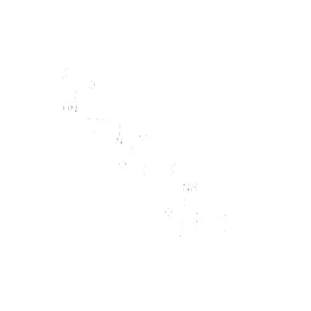 C=CC(=O)NC1C2CN(S(=O)(=O)c3ccc(NC(=O)C45CC6CC(CC(C6)C4)C5)cc3)CC21